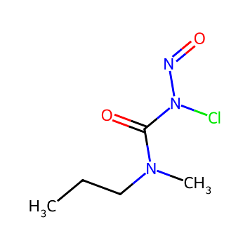 CCCN(C)C(=O)N(Cl)N=O